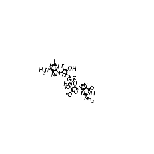 CO[C@H]1O[C@@H](n2cnc3c(=O)[nH]c(N)nc32)C(OP(=O)(O)OC[C@H]2O[C@@H](n3cnc4c(N)nc(F)nc43)C(F)C2O)C1O